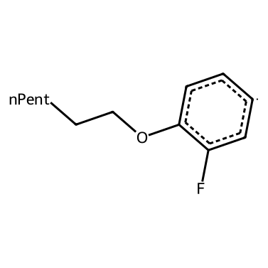 CCCCCCCOc1cc[c]cc1F